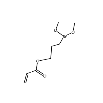 C=CC(=O)OCCC[Si](OC)OC